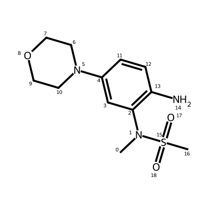 CN(c1cc(N2CCOCC2)ccc1N)S(C)(=O)=O